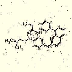 C=CC(=O)Nc1cc(Nc2ncc3cccc(-c4ccccc4)c3n2)ccc1N(C)CCN(C)C